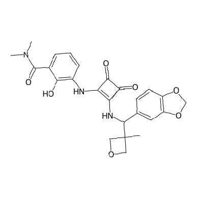 CN(C)C(=O)c1cccc(Nc2c(NC(c3ccc4c(c3)OCO4)C3(C)COC3)c(=O)c2=O)c1O